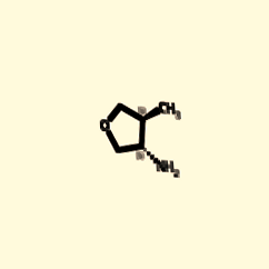 C[C@@H]1COC[C@H]1N